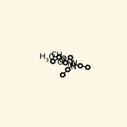 CC1(C)c2ccccc2-c2c1ccc1c2Oc2cccc(-c3ccccc3-c3nc(-c4ccc(-c5ccccc5)cc4)nc(-c4ccc(-c5ccccc5)cc4)n3)c2O1